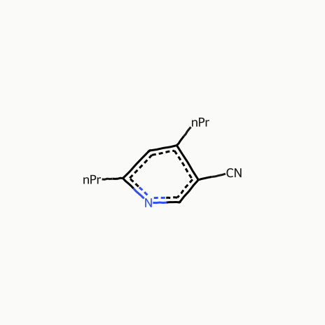 CCCc1cc(CCC)c(C#N)cn1